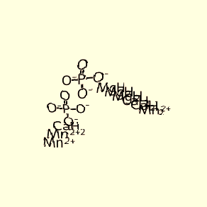 O=P([O-])([O-])[O-].O=P([O-])([O-])[O-].[CaH2].[CaH2].[CaH2].[MgH2].[MgH2].[MgH2].[Mn+2].[Mn+2].[Mn+2]